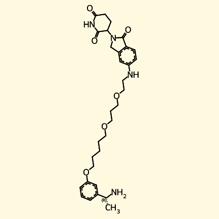 C[C@@H](N)c1cccc(OCCCCCOCCCOCCNc2ccc3c(c2)CN(C2CCC(=O)NC2=O)C3=O)c1